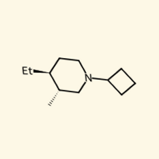 CC[C@H]1CCN(C2CCC2)C[C@@H]1C